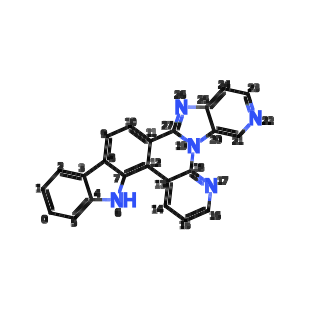 c1ccc2c(c1)[nH]c1c2ccc2c1c1cccnc1n1c3cnccc3nc21